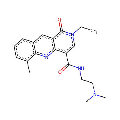 Cc1cccc2cc3c(=O)n(CC(F)(F)F)cc(C(=O)NCCN(C)C)c3nc12